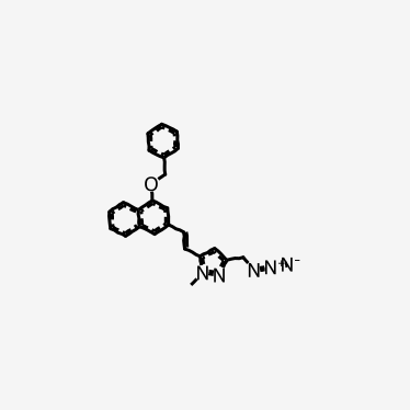 Cn1nc(CN=[N+]=[N-])cc1C=Cc1cc(OCc2ccccc2)c2ccccc2c1